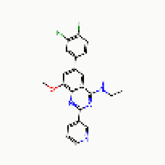 CCNc1nc(-c2cccnc2)nc2c(OC)cc(-c3ccc(F)c(F)c3)cc12